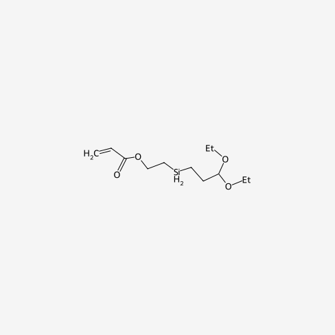 C=CC(=O)OCC[SiH2]CCC(OCC)OCC